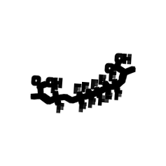 CC(=CC(F)(F)CCC(F)(F)C(F)(F)C(F)(F)C(F)(F)C(F)(F)C=C(C)C(=O)O)C(=O)O